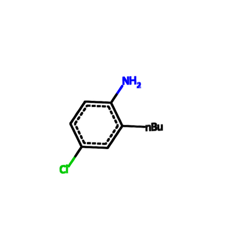 CCCCc1cc(Cl)ccc1N